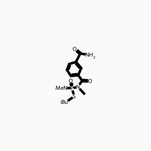 CCC(C)SP(=O)(NC)N(C)C(=O)c1cccc(C(N)=O)c1